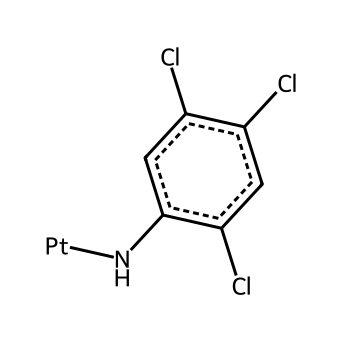 Clc1cc(Cl)c([NH][Pt])cc1Cl